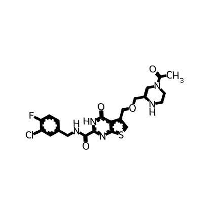 CC(=O)N1CCNC(COCc2csc3nc(C(=O)NCc4ccc(F)c(Cl)c4)[nH]c(=O)c23)C1